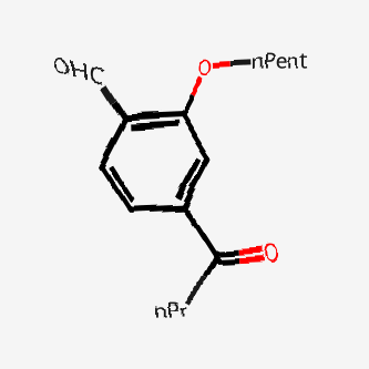 CCCCCOc1cc(C(=O)CCC)ccc1C=O